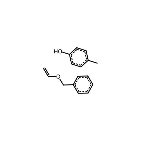 C=COCc1ccccc1.Cc1ccc(O)cc1